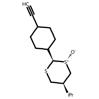 C#CC1CCC([C@@H]2SC[C@H](C(C)C)C[S@@+]2[O-])CC1